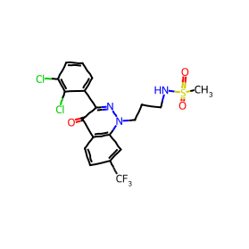 CS(=O)(=O)NCCCn1nc(-c2cccc(Cl)c2Cl)c(=O)c2ccc(C(F)(F)F)cc21